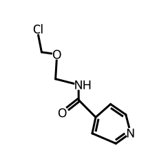 O=C(NCOCCl)c1ccncc1